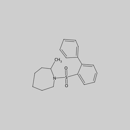 CC1CCCCCN1S(=O)(=O)c1ccccc1-c1ccccc1